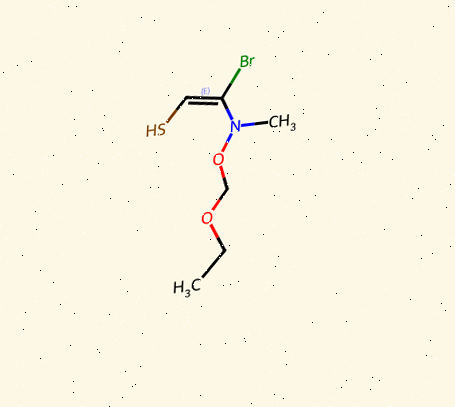 CCOCON(C)/C(Br)=C\S